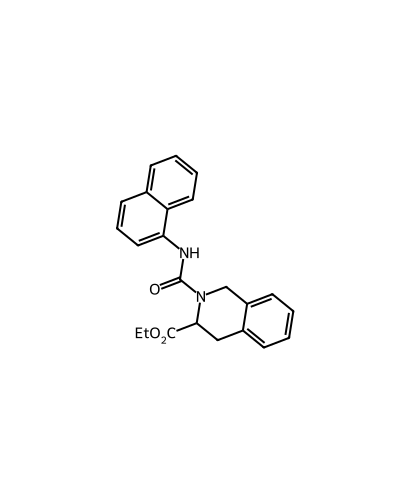 CCOC(=O)C1Cc2ccccc2CN1C(=O)Nc1cccc2ccccc12